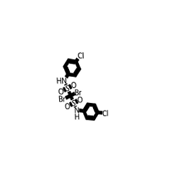 O=S(=O)(Nc1ccc(Cl)cc1)C(Br)(Br)S(=O)(=O)Nc1ccc(Cl)cc1